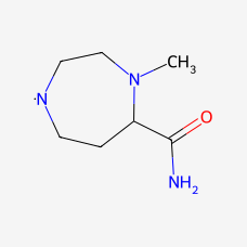 CN1CC[N]CCC1C(N)=O